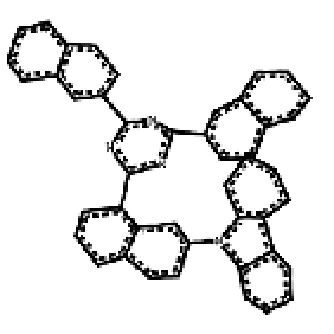 c1ccc2cc(-c3nc(-c4ccc5ccccc5c4)nc(-c4cccc5ccc(-n6c7ccccc7c7ccccc76)cc45)n3)ccc2c1